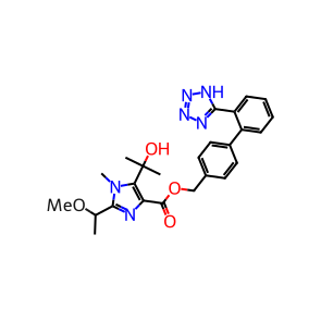 COC(C)c1nc(C(=O)OCc2ccc(-c3ccccc3-c3nnn[nH]3)cc2)c(C(C)(C)O)n1C